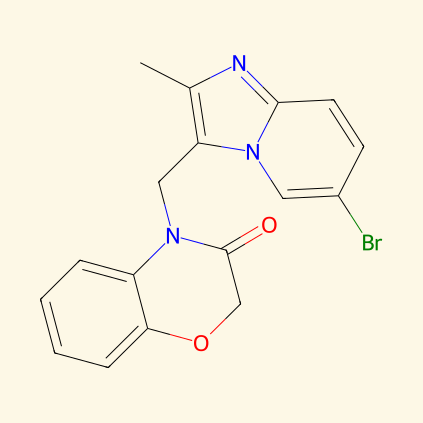 Cc1nc2ccc(Br)cn2c1CN1C(=O)COc2ccccc21